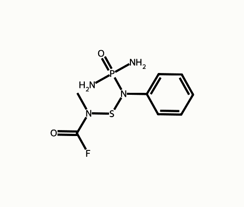 CN(SN(c1ccccc1)P(N)(N)=O)C(=O)F